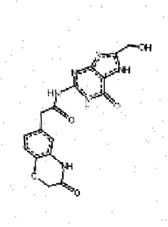 O=C(Cc1ccc2c(c1)NC(=O)CO2)Nc1nc2nc(CO)[nH]c2c(=O)[nH]1